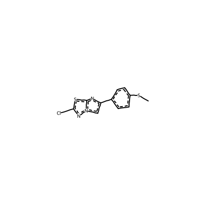 CSc1ccc(-c2cn3nc(Cl)sc3n2)cc1